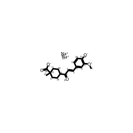 COc1cc(C=CC(=O)C2CCC(C)(C(=O)[O-])CC2)ccc1[O-].[Na+].[Na+]